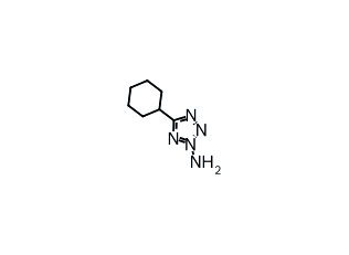 Nn1nnc(C2CCCCC2)n1